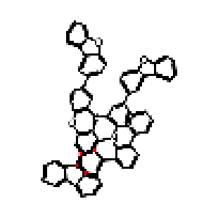 c1ccc(-c2cccc(-c3ccccc3)c2N2c3ccc(-c4ccc5oc6ccccc6c5c4)cc3B3c4cc(-c5ccc6oc7ccccc7c6c5)ccc4Oc4cc(-n5c6ccccc6c6ccccc65)cc2c43)cc1